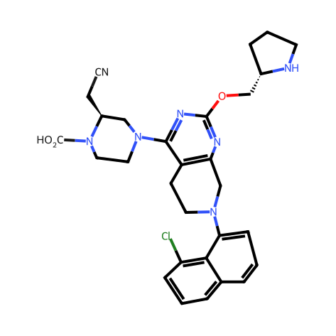 N#CC[C@H]1CN(c2nc(OC[C@@H]3CCCN3)nc3c2CCN(c2cccc4cccc(Cl)c24)C3)CCN1C(=O)O